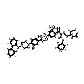 O=C(NS(=O)(=O)c1ccc(N[C@H](CCN2CCOCC2)CSc2ccccc2)c([N+](=O)[O-])c1)c1ccc(N2CCN(Cc3ccccc3-c3ccccc3)CC2)c(F)c1